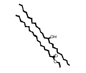 CCCCCCCCC=CCCCCCCCC(=O)OCC.CCCCCCCCCCCCCC(O)CCCCCCCCCC